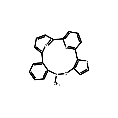 Cp1oc2ccsc2c2cccc(n2)c2cccc(n2)c2ccccc21